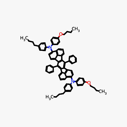 CCCCOc1ccc(N(c2ccc(CCCC)cc2)c2ccc3c4c(-c5ccccc5)c5c6cccc7c(N(c8ccc(CCCC)cc8)c8ccc(OCCCC)cc8)ccc(c5c(-c5ccccc5)c4c4cccc2c43)c76)cc1